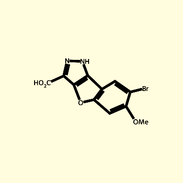 COc1cc2oc3c(C(=O)O)n[nH]c3c2cc1Br